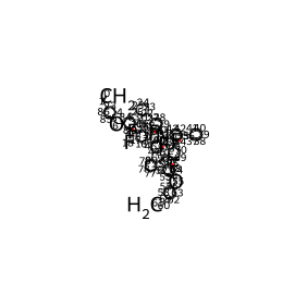 C=Cc1ccc(Oc2ccc(C3(c4c(F)ccc(F)c4F)C4=C(C=CCC4)c4ccc(N(c5ccc(-c6ccccc6)cc5)c5ccc6c(c5)C(c5ccc(Oc7ccc(C=C)cc7)cc5)(c5c(F)ccc(F)c5F)c5ccccc5-6)cc43)cc2)cc1